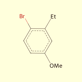 CCc1cc(OC)ccc1Br